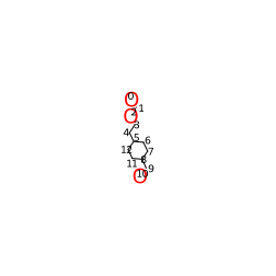 O=COCCC1CCC(C=O)CC1